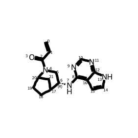 C=CC(=O)N1C[C@H](Nc2ncnc3[nH]ccc23)C2CCC1C2